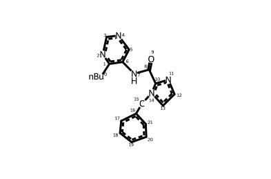 CCCCc1ncncc1NC(=O)c1nccn1Cc1ccccc1